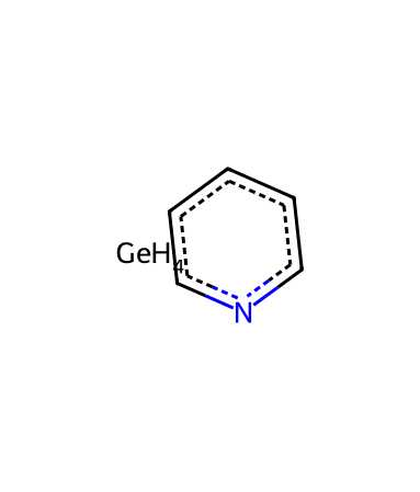 [GeH4].c1ccncc1